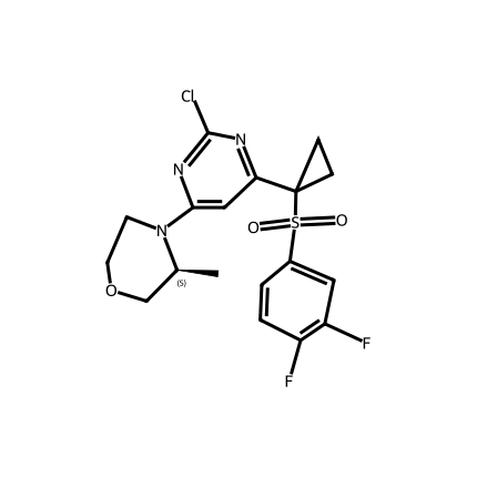 C[C@H]1COCCN1c1cc(C2(S(=O)(=O)c3ccc(F)c(F)c3)CC2)nc(Cl)n1